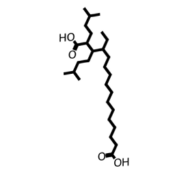 CCC(CCCCCCCCCCCC(=O)O)C(CCC(C)C)C(CCC(C)C)C(=O)O